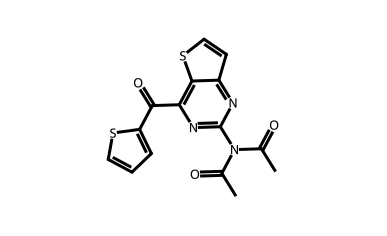 CC(=O)N(C(C)=O)c1nc(C(=O)c2cccs2)c2sccc2n1